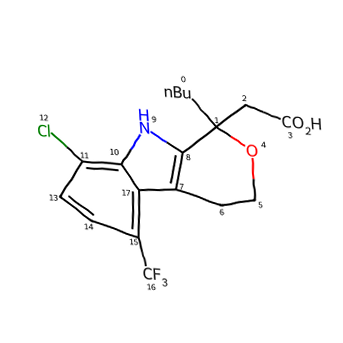 CCCCC1(CC(=O)O)OCCc2c1[nH]c1c(Cl)ccc(C(F)(F)F)c21